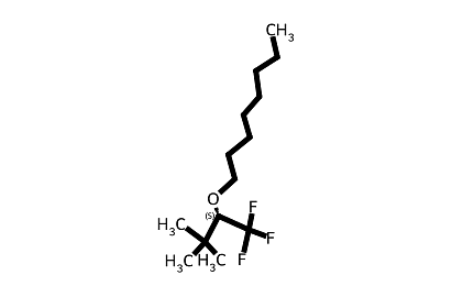 CCCCCCCCO[C@@H](C(C)(C)C)C(F)(F)F